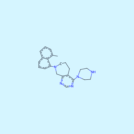 Cc1cccc2cccc(N3CCCc4c(ncnc4N4CCNCC4)C3)c12